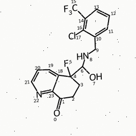 O=C1CCC(F)(C(O)NCc2cccc(C(F)(F)F)c2Cl)c2cccnc21